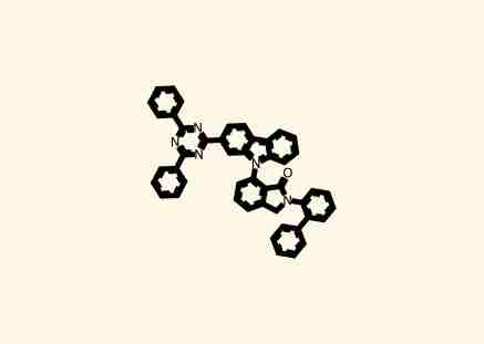 O=C1c2c(cccc2-n2c3ccccc3c3ccc(-c4nc(-c5ccccc5)nc(-c5ccccc5)n4)cc32)CN1c1ccccc1-c1ccccc1